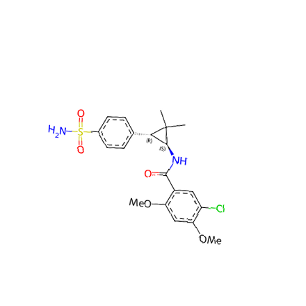 COc1cc(OC)c(C(=O)N[C@H]2[C@H](c3ccc(S(N)(=O)=O)cc3)C2(C)C)cc1Cl